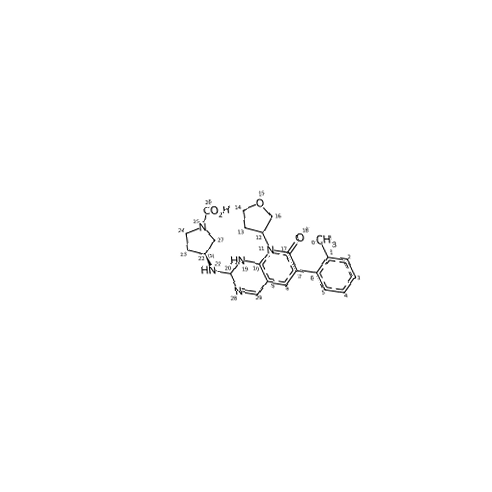 Cc1ccccc1-c1cc2c(n(C3CCOC3)c1=O)NC(N[C@H]1CCN(C(=O)O)C1)N=C2